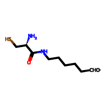 N[C@@H](CS)C(=O)NCCCCC[C]=O